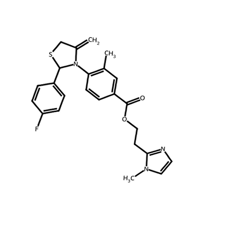 C=C1CSC(c2ccc(F)cc2)N1c1ccc(C(=O)OCCc2nccn2C)cc1C